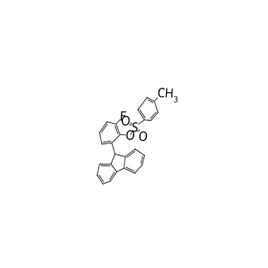 Cc1ccc(S(=O)(=O)Oc2c(F)cccc2C2c3ccccc3-c3ccccc32)cc1